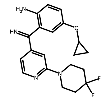 N=C(c1ccnc(N2CCC(F)(F)CC2)c1)c1cc(OC2CC2)ccc1N